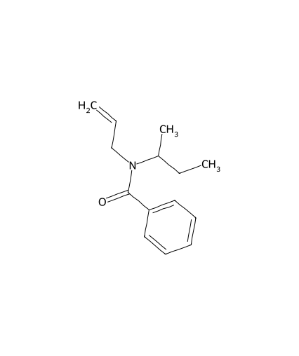 C=CCN(C(=O)c1ccccc1)C(C)CC